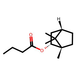 CCCC(=O)O[C@@H]1C[C@@H]2CC[C@@]1(C)C2(C)C